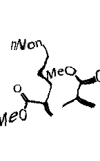 C=C(C)C(=O)OC.C=C(CCCCCCCCCCCC)C(=O)OC